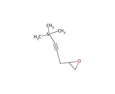 C[Si](C)(C)C#CCC1CO1